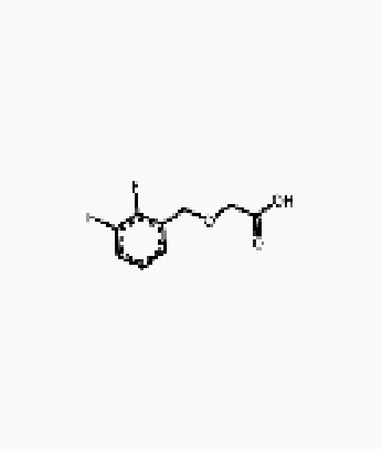 O=C(O)COCc1cccc(F)c1F